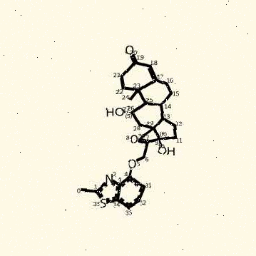 Cc1nc2c(OCC(=O)[C@@]3(O)CCC4C5CCC6=CC(=O)CCC6(C)C5[C@@H](O)CC43C)cccc2s1